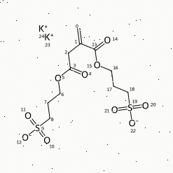 C=C(CC(=O)OCCCS(=O)(=O)[O-])C(=O)OCCCS(=O)(=O)[O-].[K+].[K+]